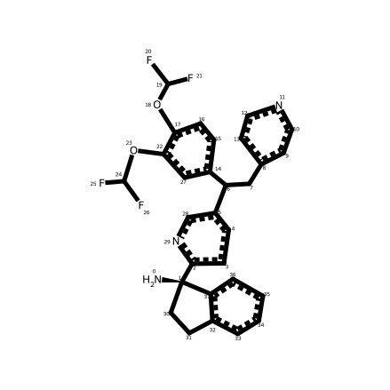 N[C@]1(c2ccc(C(Cc3ccncc3)c3ccc(OC(F)F)c(OC(F)F)c3)cn2)CCc2ccccc21